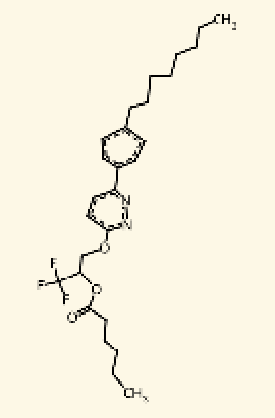 CCCCCCCCc1ccc(-c2ccc(OCC(OC(=O)CCCCC)C(F)(F)F)nn2)cc1